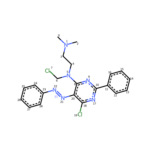 CN(C)CCN(CCl)c1nc(-c2ccccc2)nc(Cl)c1/N=N/c1ccccc1